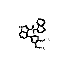 COc1ccc(-c2cccc3[nH]cc(S(=O)(=O)c4cccc5cccnc45)c23)cc1OC